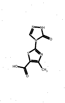 Cc1nc(-n2cn[nH]c2=O)sc1C(=O)O